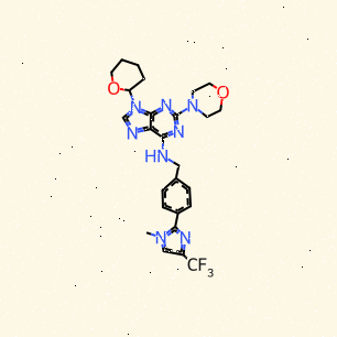 Cn1cc(C(F)(F)F)nc1-c1ccc(CNc2nc(N3CCOCC3)nc3c2ncn3C2CCCCO2)cc1